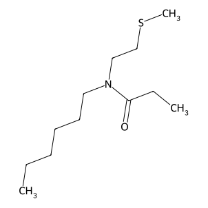 CCCCCCN(CCSC)C(=O)CC